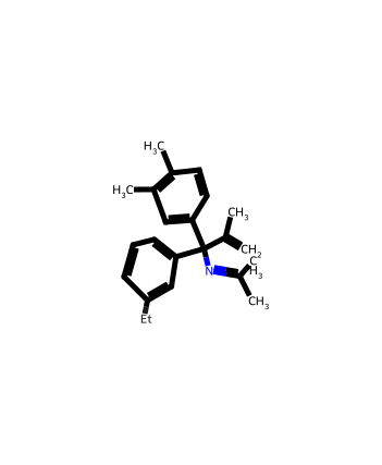 C=C(C)C(N=C(C)C)(c1cccc(CC)c1)c1ccc(C)c(C)c1